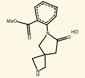 COC(=O)c1ccccc1N1CC2(CNC2)CC1=O.Cl